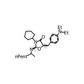 CCCCCC(C)/N=C1\O/C(=C/c2ccc(N(CC)CC)cc2)C(=O)N1C1CCCCC1